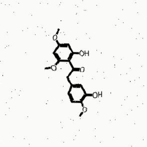 COc1cc(O)c(C(=O)Cc2ccc(OC)c(O)c2)c(OC)c1